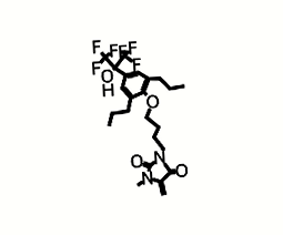 C=C1C(=O)N(CCCCOc2c(CCC)cc(C(O)(C(F)(F)F)C(F)(F)F)cc2CCC)C(=O)N1C